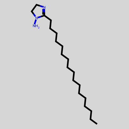 CCCCCCCCCCCCCCCCCC1=NCCN1N